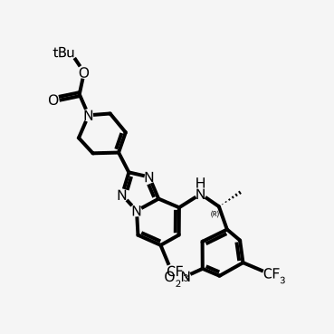 C[C@@H](Nc1cc(C(F)(F)F)cn2nc(C3=CCN(C(=O)OC(C)(C)C)CC3)nc12)c1cc([N+](=O)[O-])cc(C(F)(F)F)c1